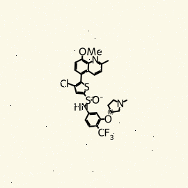 COc1ccc(-c2sc([S+]([O-])Nc3ccc(C(F)(F)F)c(O[C@@H]4CCN(C)C4)c3)cc2Cl)c2ccc(C)nc12